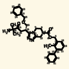 Cc1c(COC(=O)N2CCn3c(nnc3[C@@H](COCc3ccccc3)CC(=O)C(C)(C)N)C2)cccc1-c1ccccc1